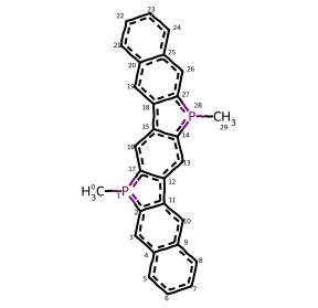 Cp1c2cc3ccccc3cc2c2cc3c(cc21)c1cc2ccccc2cc1p3C